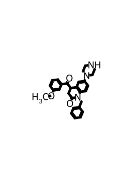 COc1cccc(C(=O)C2CC(=O)N(Cc3ccccc3)c3ccc(N4CCNCC4)cc32)c1